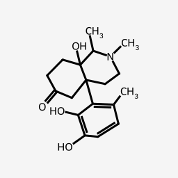 Cc1ccc(O)c(O)c1C12CCN(C)C(C)C1(O)CCC(=O)C2